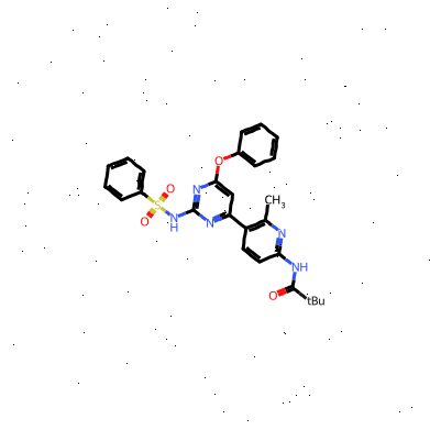 Cc1nc(NC(=O)C(C)(C)C)ccc1-c1cc(Oc2ccccc2)nc(NS(=O)(=O)c2ccccc2)n1